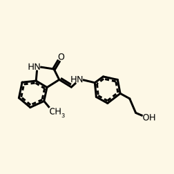 Cc1cccc2c1C(=CNc1ccc(CCO)cc1)C(=O)N2